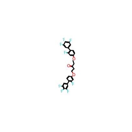 O=C(CCOc1ccc(-c2cc(F)c(F)c(F)c2)c(F)c1)CCOc1ccc(-c2cc(F)c(F)c(F)c2)c(F)c1